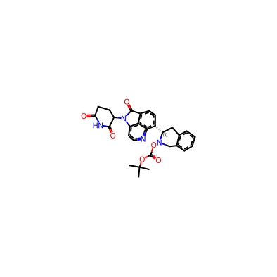 CC(C)(C)OC(=O)ON1Cc2ccccc2C[C@H]1c1ccc2c3c(ccnc13)N(C1CCC(=O)NC1=O)C2=O